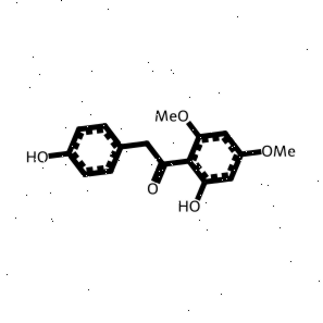 COc1cc(O)c(C(=O)Cc2ccc(O)cc2)c(OC)c1